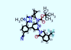 Cn1cnnc1-c1ccc(C#N)cc1-c1cc(N2Cc3c(cccc3C(F)(F)F)C2=O)nc(N(C(=O)OC(C)(C)C)C2CC23CC3)c1